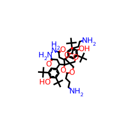 CC(C)(C)c1cc(C(CC(N)=O)C2(C(CC(N)=O)c3cc(C(C)(C)C)c(O)c(C(C)(C)C)c3)OC(CCCN)OCC23COC(CCCN)OC3)cc(C(C)(C)C)c1O